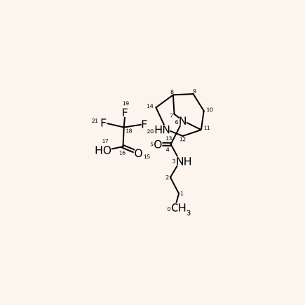 CCCNC(=O)N1CC2CCC1CNC2.O=C(O)C(F)(F)F